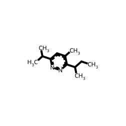 CCC(C)c1nnc(C(C)C)cc1C